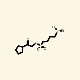 CC[S+](CC)CCCCS(=O)(=O)OCC(=O)C1CCCC1